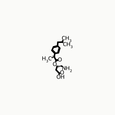 CC(C)Cc1ccc([C@H](C)C(=O)O[C@@H](CN)CC(=O)O)cc1